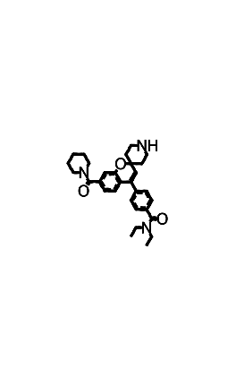 CCN(CC)C(=O)c1ccc(C2=CC3(CCNCC3)Oc3cc(C(=O)N4CCCCC4)ccc32)cc1